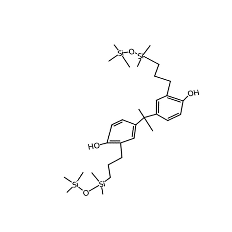 CC(C)(c1ccc(O)c(CCC[Si](C)(C)O[Si](C)(C)C)c1)c1ccc(O)c(CCC[Si](C)(C)O[Si](C)(C)C)c1